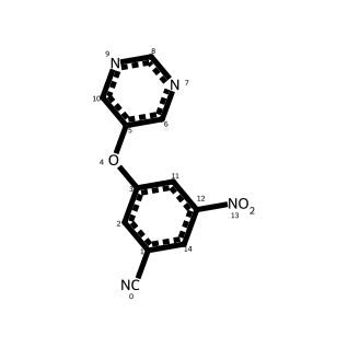 N#Cc1cc(Oc2cncnc2)cc([N+](=O)[O-])c1